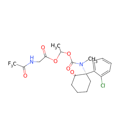 CC(OC(=O)CNC(=O)C(F)(F)F)OC(=O)N(C)[C@]1(c2ccccc2Cl)CCCCC1=O